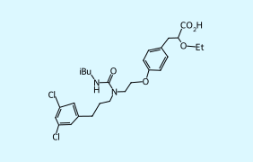 CCOC(Cc1ccc(OCCN(CCCc2cc(Cl)cc(Cl)c2)C(=O)NC(C)CC)cc1)C(=O)O